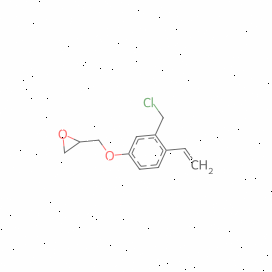 C=Cc1ccc(OCC2CO2)cc1CCl